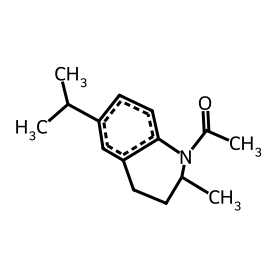 CC(=O)N1c2ccc(C(C)C)cc2CCC1C